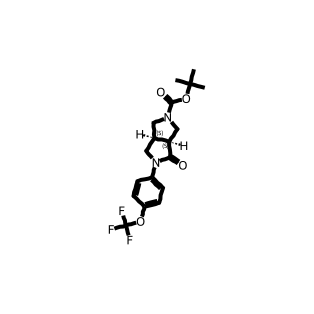 CC(C)(C)OC(=O)N1C[C@@H]2CN(c3ccc(OC(F)(F)F)cc3)C(=O)[C@@H]2C1